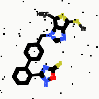 CCSc1sc(C(=O)O)c2c1ncn2Cc1ccc(-c2ccccc2-c2nc(=S)o[nH]2)cc1